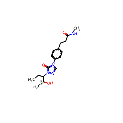 CCC([C@H](C)O)n1ncn(-c2ccc(CCC(=O)NC)cc2)c1=O